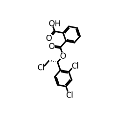 O=C(O)c1ccccc1C(=O)O[C@@H](CCl)c1ccc(Cl)cc1Cl